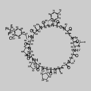 CC[C@H](C)[C@@H]1NC(=O)[C@H](C)N(C)C(=O)C[C@@H](C)NC(=O)[C@H](C2CCCC2)N(C)C(=O)C2(CCCC2)NC(=O)[C@@H]2CCCN2C(=O)[C@H](CCc2ccc(C(F)(F)F)c(Cl)c2)NC(=O)[C@@H](C)N(C)C(=O)[C@H](Cc2ccc(C)cc2)N(C)C(=O)CN(C)C(=O)CN(C)C1=O